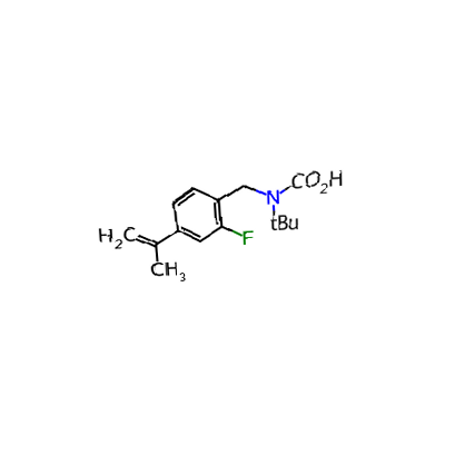 C=C(C)c1ccc(CN(C(=O)O)C(C)(C)C)c(F)c1